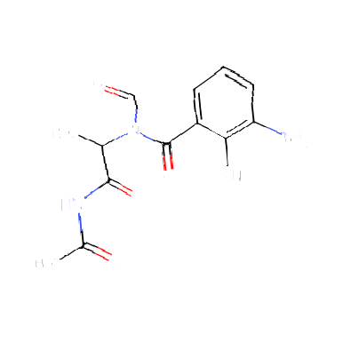 CC(=O)NC(=O)C(C)N(C=O)C(=O)c1cccc(N)c1C